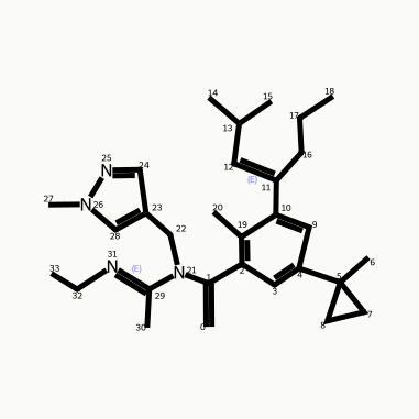 C=C(c1cc(C2(C)CC2)cc(/C(=C/C(C)C)CCC)c1C)N(Cc1cnn(C)c1)/C(C)=N/CC